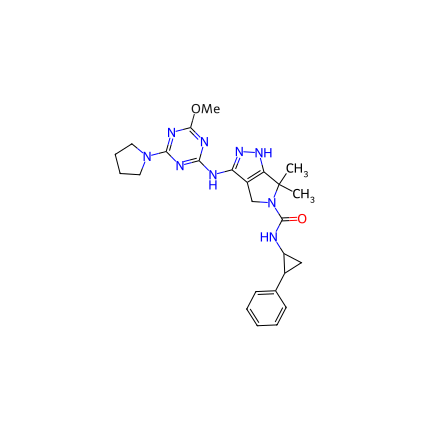 COc1nc(Nc2n[nH]c3c2CN(C(=O)NC2CC2c2ccccc2)C3(C)C)nc(N2CCCC2)n1